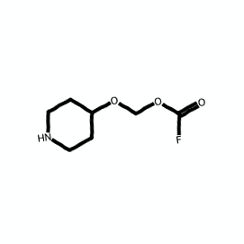 O=C(F)OCOC1CCNCC1